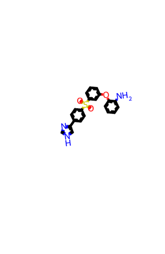 Nc1ccccc1Oc1cccc(S(=O)(=O)c2ccc(-c3c[nH]cn3)cc2)c1